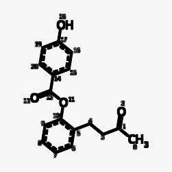 CC(=O)CCc1ccccc1OC(=O)c1ccc(O)cc1